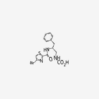 O=C(O)NCC(Cc1ccccc1)NC(=O)c1nc(Br)cs1